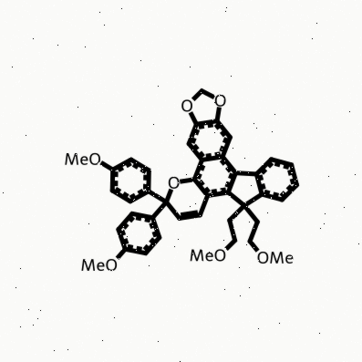 COCCC1(CCOC)c2ccccc2-c2c1c1c(c3cc4c(cc23)OCO4)OC(c2ccc(OC)cc2)(c2ccc(OC)cc2)C=C1